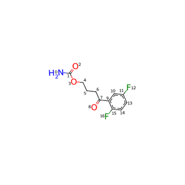 NC(=O)OCCCC(=O)c1cc(F)ccc1F